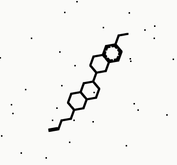 C=CCCC1CCC2CC(C3CCc4cc(CC)ccc4C3)CCC2C1